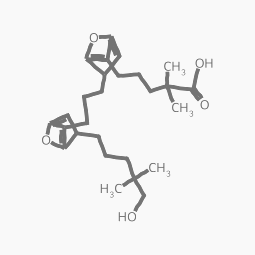 CC(C)(CO)CCCC1C=C2OC1=C2CCCC1C=C2OC1=C2CCCC(C)(C)C(=O)O